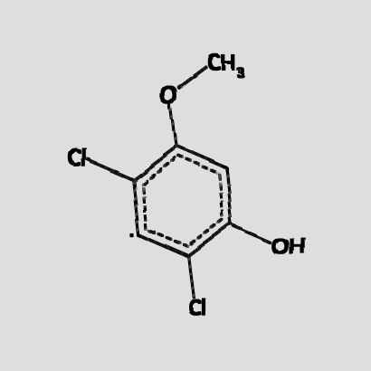 COc1cc(O)c(Cl)[c]c1Cl